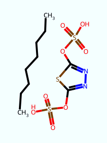 CCCCCCCC.O=S(=O)(O)Oc1nnc(OS(=O)(=O)O)s1